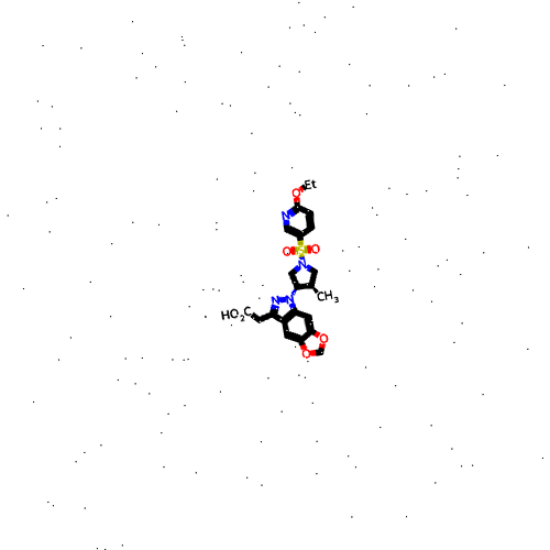 CCOc1ccc(S(=O)(=O)N2C[C@@H](C)[C@@H](n3nc(CC(=O)O)c4cc5c(cc43)OCO5)C2)cn1